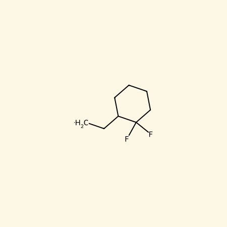 [CH2]CC1CCCCC1(F)F